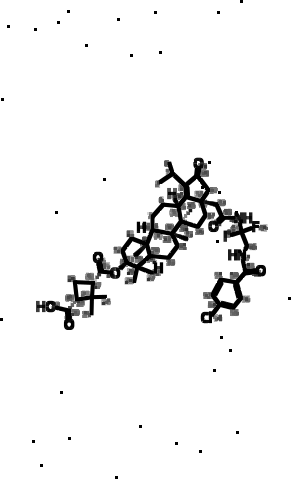 CC(C)C1=C2[C@H]3CC[C@@H]4[C@@]5(C)CC[C@H](OC(=O)[C@H]6C[C@@H](C(=O)O)C6(C)C)C(C)(C)[C@@H]5CC[C@@]4(C)[C@]3(C)CC[C@@]2(CC(=O)NC(F)(F)CNC(=O)c2ccc(Cl)cc2)CC1=O